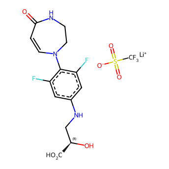 O=C1C=CN(c2c(F)cc(NC[C@@H](O)C(=O)O)cc2F)CCN1.O=S(=O)([O-])C(F)(F)F.[Li+]